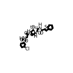 CC(C)(C)C(NC(=O)c1cc2ccccc2s1)C(=O)N1C[C@@H]2C[C@H]1CN2C(=O)CNS(=O)(=O)c1cccc(Cl)c1